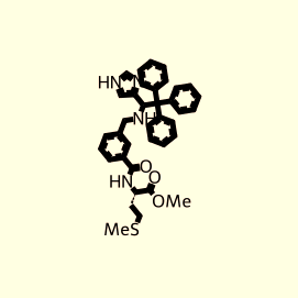 COC(=O)[C@H](CCSC)NC(=O)c1cccc(CNC(c2c[nH]cn2)C(c2ccccc2)(c2ccccc2)c2ccccc2)c1